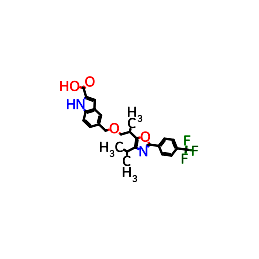 CC(C)c1nc(-c2ccc(C(F)(F)F)cc2)oc1C(C)COCc1ccc2[nH]c(C(=O)O)cc2c1